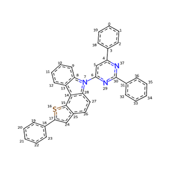 c1ccc(-c2cc(-n3c4ccccc4c4c5sc(-c6ccccc6)cc5ccc43)nc(-c3ccccc3)n2)cc1